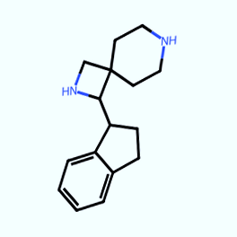 c1ccc2c(c1)CCC2C1NCC12CCNCC2